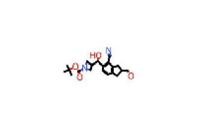 CC(C)(C)OC(=O)N1CC(C(O)c2ccc3c(c2C#N)CC(C=O)C3)C1